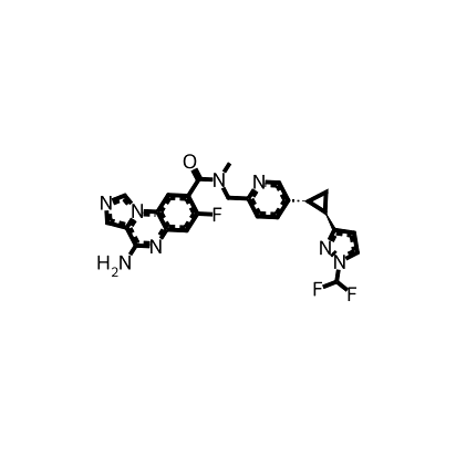 CN(Cc1ccc([C@@H]2C[C@H]2c2ccn(C(F)F)n2)cn1)C(=O)c1cc2c(cc1F)nc(N)c1cncn12